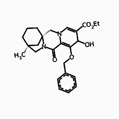 CCOC(=O)C1=CN2C[C@]34CCC[C@](C)(CN3C(=O)C2=C(OCc2ccccc2)C1O)C4